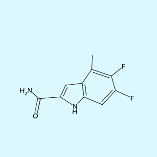 Cc1c(F)c(F)cc2[nH]c(C(N)=O)cc12